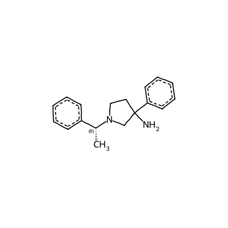 C[C@H](c1ccccc1)N1CCC(N)(c2ccccc2)C1